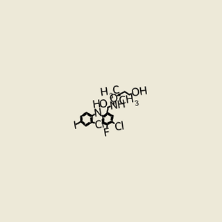 CC(C)(CCO)ONC(=O)c1cc(Cl)c(F)cc1Nc1ccc(I)cc1Cl